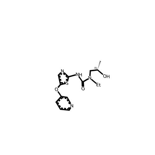 CCN(C[C@H](C)O)C(=O)Nc1ncc(Oc2cccnc2)s1